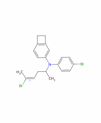 C/C(Br)=C\CC(C)N(c1ccc(Br)cc1)c1ccc2c(c1)CC2